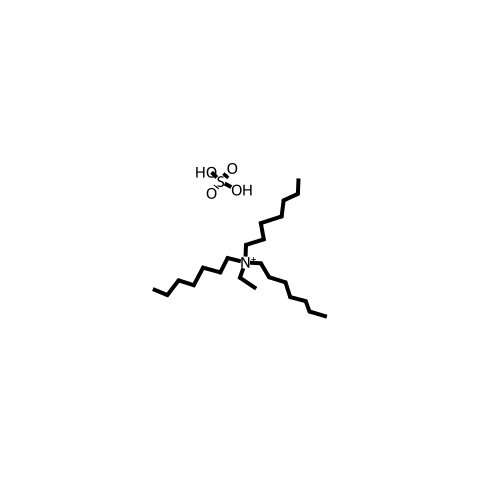 CCCCCCC[N+](CC)(CCCCCCC)CCCCCCC.O=S(=O)(O)O